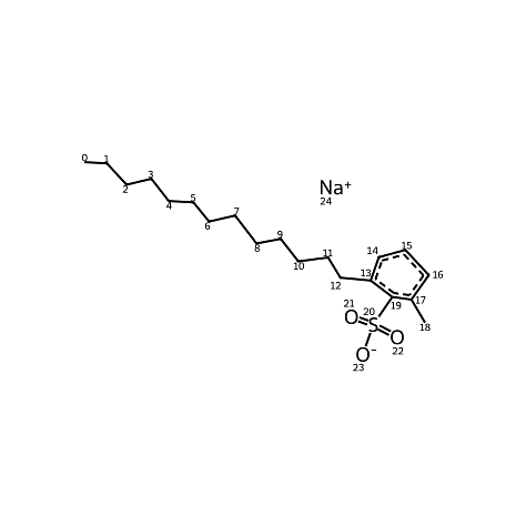 CCCCCCCCCCCCCc1cccc(C)c1S(=O)(=O)[O-].[Na+]